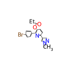 CCC(=O)Oc1ccc(-c2cnn(C)c2)nc1-c1ccc(Br)cc1